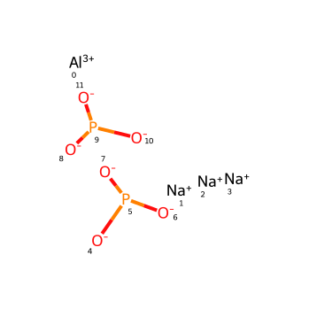 [Al+3].[Na+].[Na+].[Na+].[O-]P([O-])[O-].[O-]P([O-])[O-]